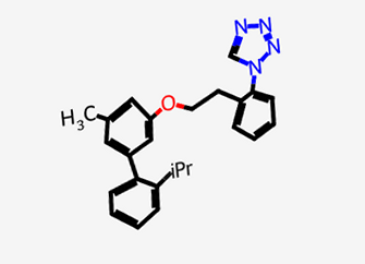 Cc1cc(OCCc2ccccc2-n2cnnn2)cc(-c2ccccc2C(C)C)c1